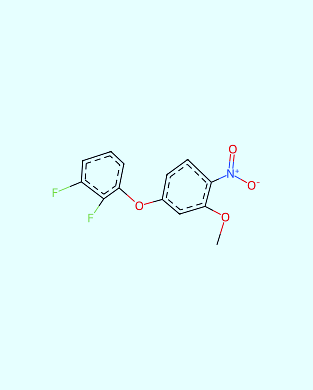 COc1cc(Oc2cccc(F)c2F)ccc1[N+](=O)[O-]